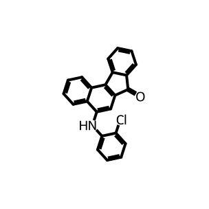 O=C1c2ccccc2-c2c1cc(Nc1ccccc1Cl)c1ccccc21